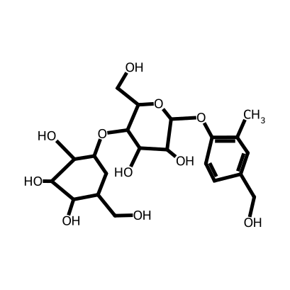 Cc1cc(CO)ccc1OC1OC(CO)C(OC2CC(CO)C(O)C(O)C2O)C(O)C1O